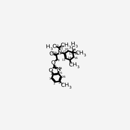 Cc1ccc2oc(OCC(=O)N(C3=CC(C)CC(C)(C)C3)C(C)C)nc2c1